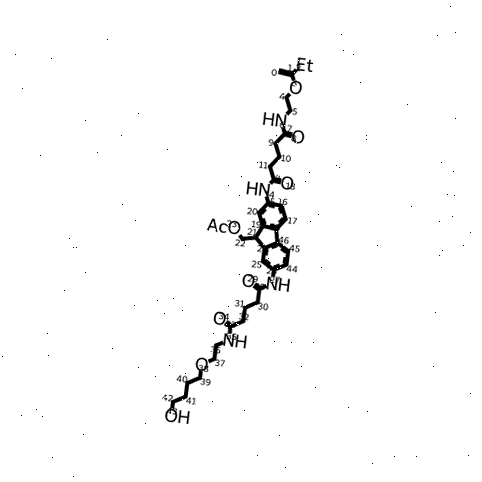 C=C(CC)OCCNC(=O)CCCC(=O)Nc1ccc2c(c1)C(COC(C)=O)c1cc(NC(=O)CCCC(=O)NCCOCCCCO)ccc1-2